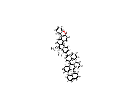 CC1(C)c2cc(-c3ccc(-c4c5ccccc5c(-c5cccc6ccccc56)c5ccccc45)c4ccccc34)ccc2-c2c1ccc1c2ccc2oc3ccccc3c21